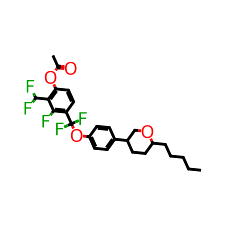 CCCCCC1CCC(c2ccc(OC(F)(F)c3ccc(OC(C)=O)c(C(F)F)c3F)cc2)CO1